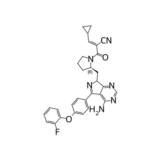 N#CC(=CC1CC1)C(=O)N1CCC[C@@H]1CC1N=C(c2ccc(Oc3ccccc3F)cc2)c2c(N)ncnc21